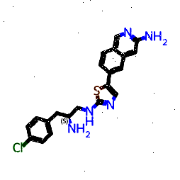 Nc1cc2cc(-c3cnc(NC[C@@H](N)Cc4ccc(Cl)cc4)s3)ccc2cn1